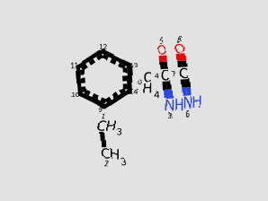 C.CC.N=C=O.N=C=O.c1ccccc1